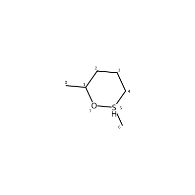 CC1CCC[SH](C)O1